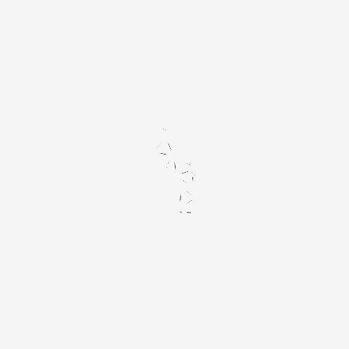 CC(CF)NCc1ccc(-c2cc(-c3nc(-c4ccc(S(=O)(=O)C5CCOCC5)cc4)cnc3N)on2)cc1